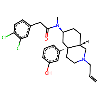 C=CCN1CC[C@@]2(c3cccc(O)c3)C[C@@H](N(C)C(=O)Cc3ccc(Cl)c(Cl)c3)CC[C@@H]2C1